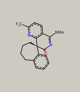 CNC1=NC(=O)[C@@]2(CCCCc3ccccc32)c2nc(C(F)(F)F)ccc21